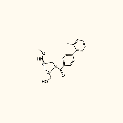 CON[C@@H]1C[C@@H](CO)N(C(=O)c2ccc(-c3ccccc3C)cc2)C1